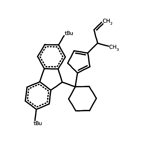 C=CC(C)C1=CCC(C2(C3c4cc(C(C)(C)C)ccc4-c4ccc(C(C)(C)C)cc43)CCCCC2)=C1